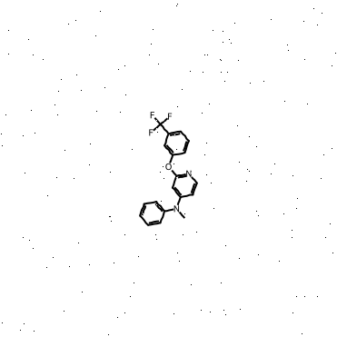 CN(c1ccccc1)c1ccnc(Oc2cccc(C(F)(F)F)c2)c1